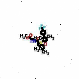 COC(=O)CCNC(=O)c1ccc([C@@H](CC(C)C)Oc2cc(C)c(-c3ccc(C(F)(F)F)cc3)c(C)c2)s1